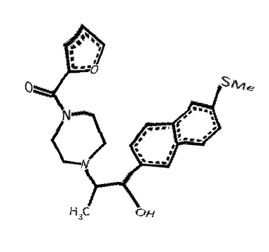 CSc1ccc2cc(C(O)C(C)N3CCN(C(=O)c4ccco4)CC3)ccc2c1